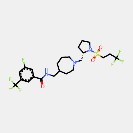 O=C(NCC1CCCN(C[C@@H]2CCCN2S(=O)(=O)CCC(F)(F)F)CC1)c1cc(F)cc(C(F)(F)F)c1